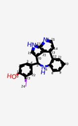 Oc1ccc(C2Nc3ccccc3-c3ccnc4[nH]cc2c34)cc1I